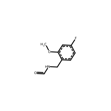 COc1cc(F)ccc1CN[C]=O